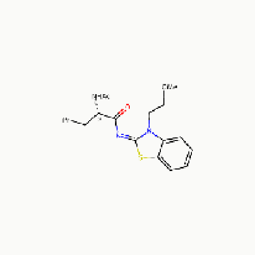 COCCn1c(=NC(=O)[C@H](CC(C)C)NC(C)=O)sc2ccccc21